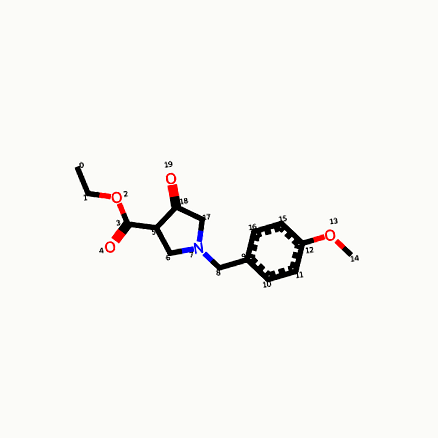 CCOC(=O)C1CN(Cc2ccc(OC)cc2)CC1=O